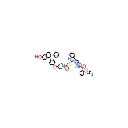 O=C(NCc1cc2c3ccccc3nc(SCC(=O)N3CCC(Oc4ccc([C@@H]5c6ccc(O)cc6CC[C@@H]5c5ccccc5)cc4)CC3)n2n1)c1ccccc1OC(F)(F)F